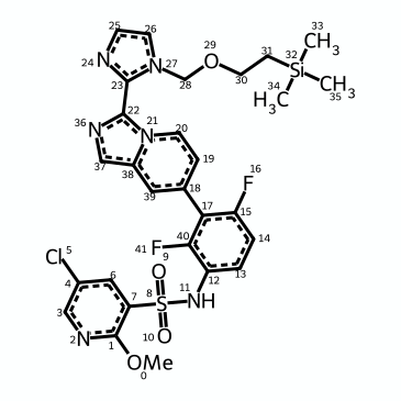 COc1ncc(Cl)cc1S(=O)(=O)Nc1ccc(F)c(-c2ccn3c(-c4nccn4COCC[Si](C)(C)C)ncc3c2)c1F